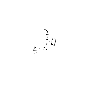 COc1cccc(OC)c1-n1c(NS(=O)(=O)CCN2C(=O)[C@H](C)C[C@@]2(C)C(C)=N)nnc1-c1ccco1